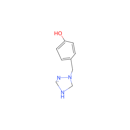 Oc1ccc(CN2CNC=N2)cc1